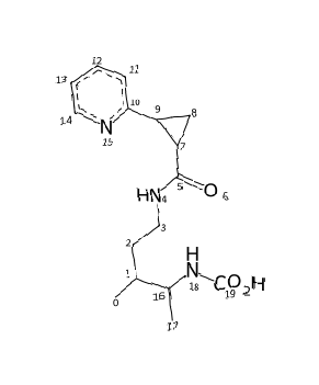 CC(CCNC(=O)C1CC1c1ccccn1)C(C)NC(=O)O